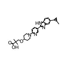 CC1=C=C1c1ccc2[nH]c(-c3ccc(N4CCC(OCC(C)(C)C(=O)O)CC4)nc3)nc2c1